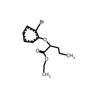 CCCC(Oc1ccccc1Br)C(=O)OCC